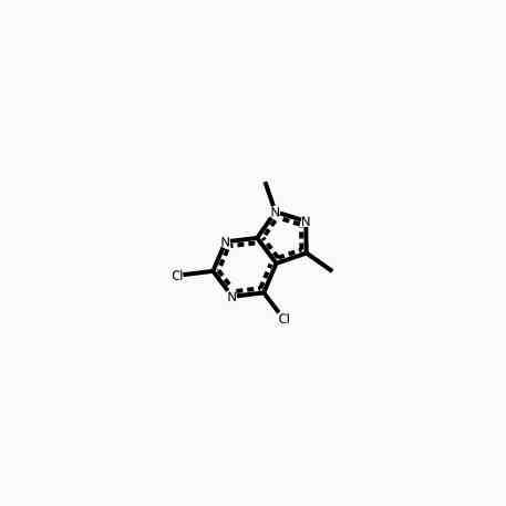 Cc1nn(C)c2nc(Cl)nc(Cl)c12